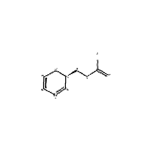 C=C(I)CC[C@H]1C=NC=CC1